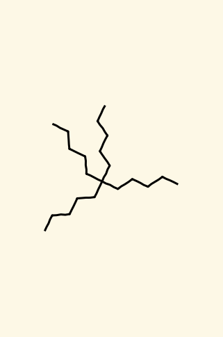 CCCCCC(CCCCC)(CCCCC)CCCCC